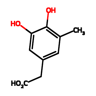 Cc1cc(CC(=O)O)cc(O)c1O